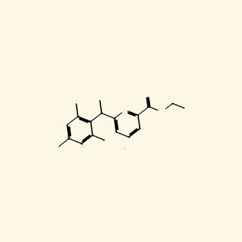 CCOC(=O)c1cccc(C(C)c2c(C)cc(C)cc2C)n1.[Fe]